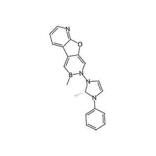 CB1C=c2c(oc3ncccc23)=CN1N1C=CN(c2ccccc2)[C@@H]1C